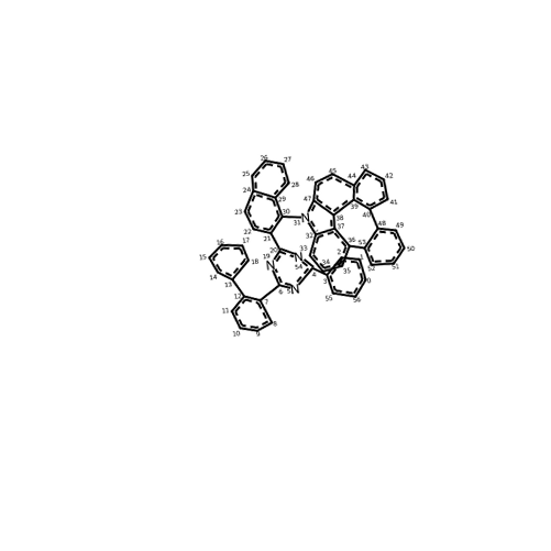 c1ccc(-c2nc(-c3ccccc3-c3ccccc3)nc(-c3ccc4ccccc4c3-n3c4cccc5c4c4c6c(cccc6ccc43)-c3ccccc3-5)n2)cc1